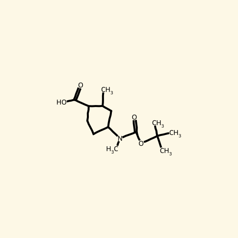 CC1CC(N(C)C(=O)OC(C)(C)C)CCC1C(=O)O